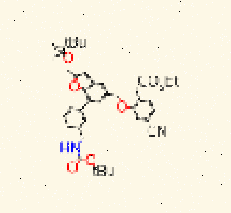 CCOC(=O)Cc1ccc(C#N)cc1OCc1cc(-c2cccc(CNC(=O)OC(C)(C)C)c2)c2oc(CO[Si](C)(C)C(C)(C)C)cc2c1